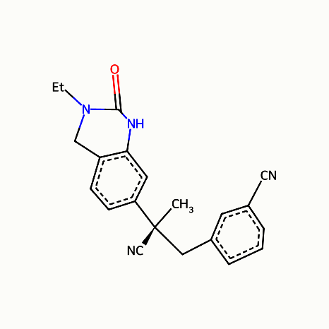 CCN1Cc2ccc([C@@](C)(C#N)Cc3cccc(C#N)c3)cc2NC1=O